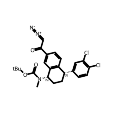 CN(C(=O)OC(C)(C)C)[C@H]1CC[C@@H](c2ccc(Cl)c(Cl)c2)c2ccc(C(=O)C=[N+]=[N-])cc21